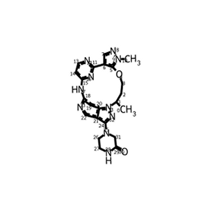 CC1CCOc2c(cnn2C)-c2nccc(n2)Nc2cc3c(cn2)c(N2CCNC(=O)C2)nn31